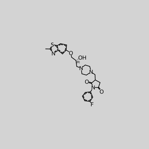 Cc1nc2cc(OC[C@H](O)CN3CCN(CC4CC(=O)N(c5cccc(F)c5)C4=O)CC3)ccc2s1